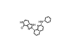 O=c1[nH]ccc2[nH]c(-c3cccc4ccc(Nc5ccccc5)nc34)nc12